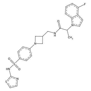 CC(C(=O)NCC1CN(c2ccc(S(=O)(=O)Nc3nccs3)cc2)C1)n1ccc2c(F)cccc21